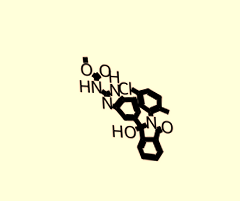 COC(=O)Nc1nc2cc(C3(O)c4ccccc4C(=O)N3c3cc(Cl)ccc3C)ccc2[nH]1